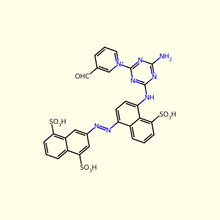 Nc1nc(Nc2ccc(N=Nc3cc(S(=O)(=O)O)c4cccc(S(=O)(=O)O)c4c3)c3cccc(S(=O)(=O)O)c23)nc(-[n+]2cccc(C=O)c2)n1